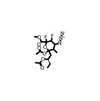 CC[C@H](CC1(OC(C)=O)OC(F)(C(=O)OC)C(F)C(N=[N+]=[N-])C1C)OC(C)=O